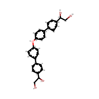 BrCC(Br)c1ccc(-c2ccc(Oc3ccc(-c4ccc(C(Br)CBr)cc4)cc3)cc2)cc1